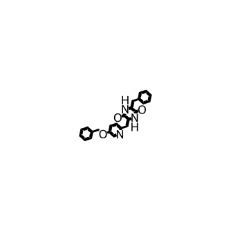 O=c1[nH]/c(=C/c2ccc(OCc3ccccc3)cn2)c(=O)[nH]/c1=C/c1ccccc1